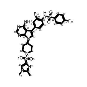 Cc1nc(S(=O)(=O)N2CCC(n3cc(-c4ccc(NS(=O)(=O)c5ccc(F)cc5)c(F)c4)c4c(N)ncnc43)CC2)cn1C